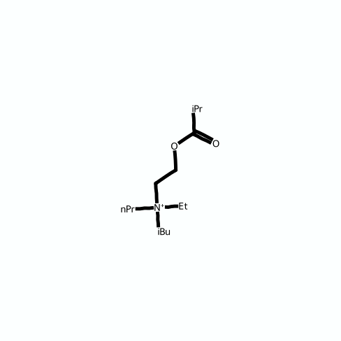 CCC[N+](CC)(CCOC(=O)C(C)C)C(C)CC